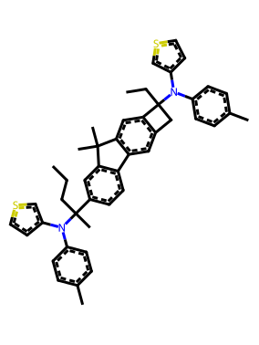 CCCC(C)(c1ccc2c(c1)C(C)(C)c1cc3c(cc1-2)CC3(CC)N(c1ccc(C)cc1)c1ccsc1)N(c1ccc(C)cc1)c1ccsc1